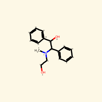 CN(CCO)C(c1ccccc1)C(O)c1ccccc1